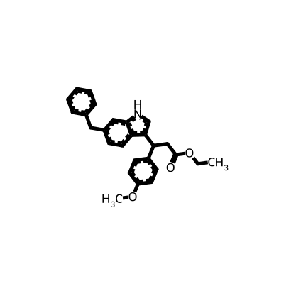 CCOC(=O)CC(c1ccc(OC)cc1)c1c[nH]c2cc(Cc3ccccc3)ccc12